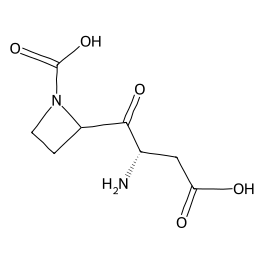 N[C@@H](CC(=O)O)C(=O)C1CCN1C(=O)O